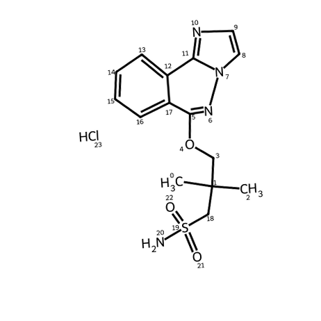 CC(C)(COc1nn2ccnc2c2ccccc12)CS(N)(=O)=O.Cl